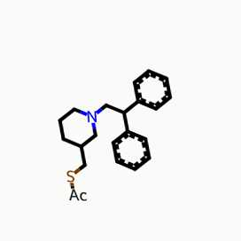 CC(=O)SCC1CCCN(CC(c2ccccc2)c2ccccc2)C1